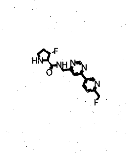 O=C(NCc1cc(-c2ccc(CF)nc2)ncn1)[C@H]1NCC[C@@H]1F